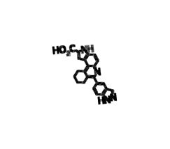 O=C(O)c1cc2c(ccc3nc(-c4ccc5[nH]ncc5c4)c4c(c32)CCCC4)[nH]1